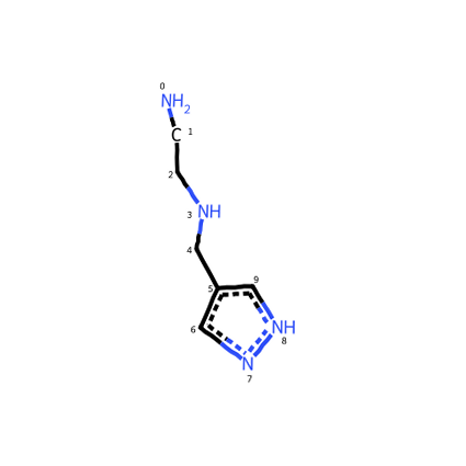 NCCNCc1cn[nH]c1